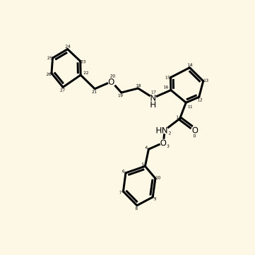 O=C(NOCc1ccccc1)c1ccccc1NCCOCc1ccccc1